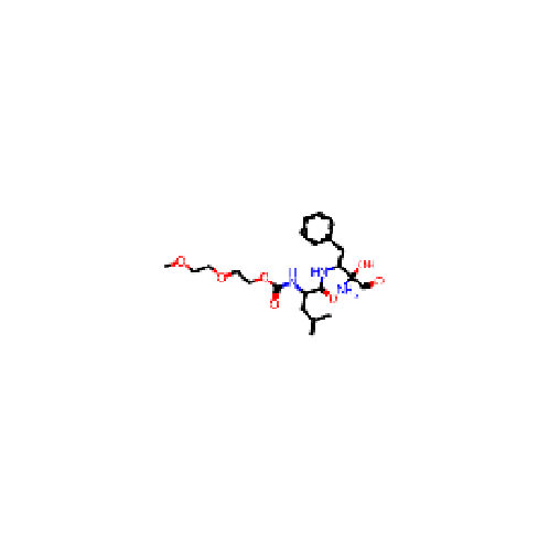 COCCOCCOC(=O)NC(CC(C)C)C(=O)NC(Cc1ccccc1)C(N)(O)C=O